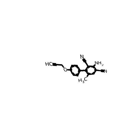 C#CCOc1ccc(-c2c(C)cc(C#N)c(N)c2C#N)cc1